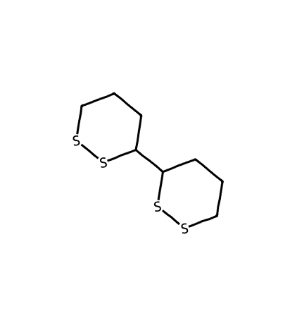 C1CSSC(C2CCCSS2)C1